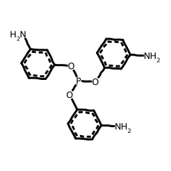 Nc1cccc(OP(Oc2cccc(N)c2)Oc2cccc(N)c2)c1